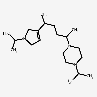 CC(CCC(C)N1CCN(C(C)C)CC1)C1=CCN(C(C)C)C1